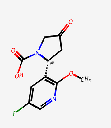 COc1ncc(F)cc1[C@H]1CC(=O)CN1C(=O)O